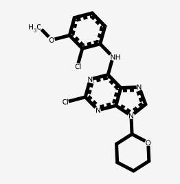 COc1cccc(Nc2nc(Cl)nc3c2ncn3C2CCCCO2)c1Cl